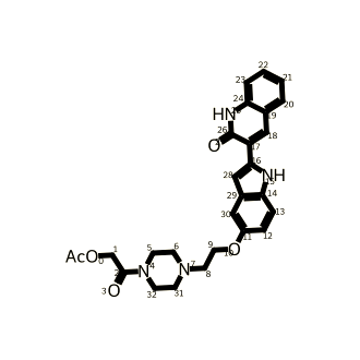 CC(=O)OCC(=O)N1CCN(CCOc2ccc3[nH]c(-c4cc5ccccc5[nH]c4=O)cc3c2)CC1